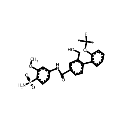 COc1cc(NC(=O)c2ccc(-c3ccccc3OC(F)(F)F)c(CO)c2)ccc1S(N)(=O)=O